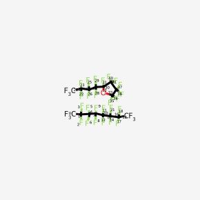 FC(F)(F)C(F)(F)C(F)(F)C(F)(F)C(F)(F)C(F)(F)C(F)(F)C(F)(F)F.FC(F)(F)C(F)(F)C(F)(F)C(F)(F)C1(F)OC(F)(F)C(F)(F)C1(F)F